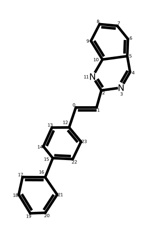 C(=Cc1ncc2ccccc2n1)c1ccc(-c2ccccc2)cc1